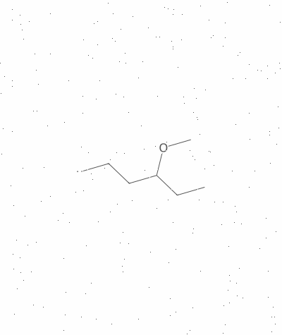 [CH2]CCC(CC)OC